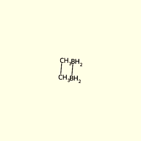 BB.CC